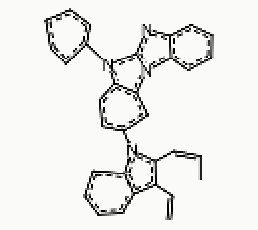 C=Cc1c(/C=C\C)n(-c2ccc3c(c2)n2c4ccccc4nc2n3-c2ccccc2)c2ccccc12